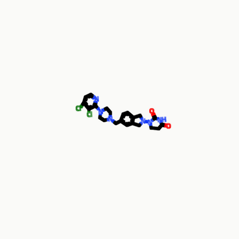 O=C1CCN(N2Cc3ccc(CN4CCN(c5nccc(Cl)c5Cl)CC4)cc3C2)C(=O)N1